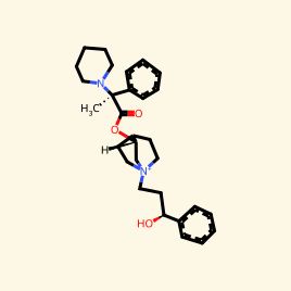 C[C@@](C(=O)O[C@H]1C[N+]2(CC[C@H](O)c3ccccc3)CCC1CC2)(c1ccccc1)N1CCCCC1